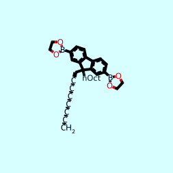 C=C=C=C=C=C=C=CC1(CCCCCCCC)c2cc(B3OCCO3)ccc2-c2ccc(B3OCCO3)cc21